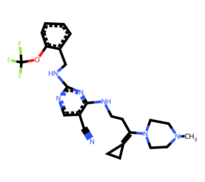 CN1CCN(C(CCNc2nc(NCc3ccccc3OC(F)(F)F)ncc2C#N)=C2CC2)CC1